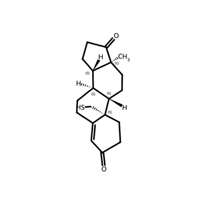 C[C@]12CC[C@H]3[C@@H](CCC4=CC(=O)CC[C@@]43CS)[C@@H]1CCC2=O